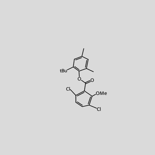 COc1c(Cl)ccc(Cl)c1C(=O)Oc1c(C)cc(C)cc1C(C)(C)C